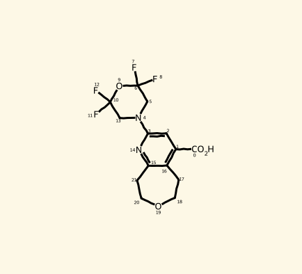 O=C(O)c1cc(N2CC(F)(F)OC(F)(F)C2)nc2c1CCOCC2